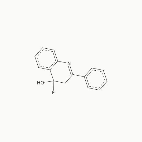 OC1(F)CC(c2ccccc2)=Nc2ccccc21